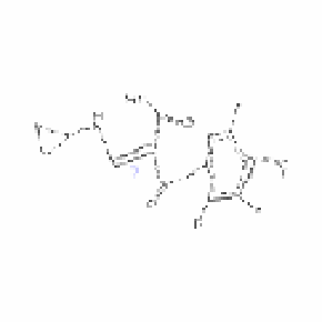 O=C(O)/C(=C\NC1CC1)C(=O)c1cc(F)c(F)c(F)c1F